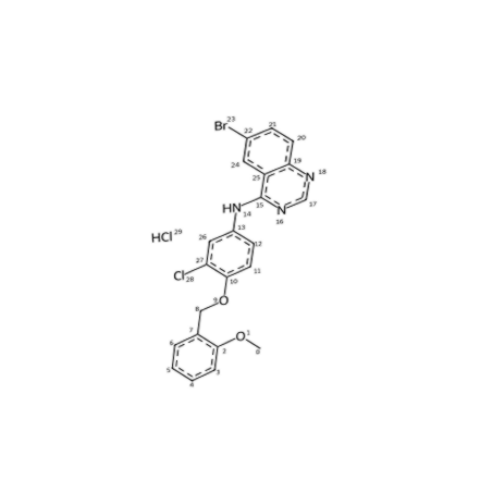 COc1ccccc1COc1ccc(Nc2ncnc3ccc(Br)cc23)cc1Cl.Cl